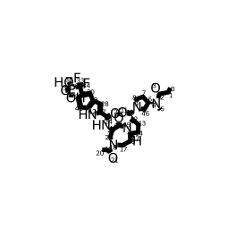 CCC(=O)N(C)[C@@H]1CCN(C(=O)[C@@H]2CC[C@@H]3CCN(C(C)=O)CC(NC(=O)c4cc5cc(C(F)(F)P(=O)(O)O)ccc5[nH]4)C(=O)N32)C1